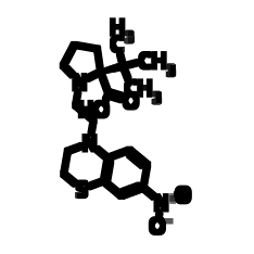 CC(C)(C)[C@]1(C(=O)O)CCCN1CCN1CCSc2cc([N+](=O)[O-])ccc21